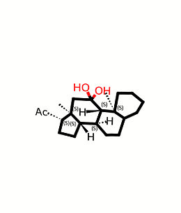 CC(=O)[C@H]1CC[C@H]2[C@@H]3CCC4CCCC[C@]4(C)[C@H]3C(O)(O)C[C@]12C